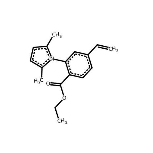 C=Cc1ccc(C(=O)OCC)c(-n2c(C)ccc2C)c1